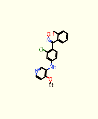 CCOc1ccncc1Nc1ccc(C(=NO)c2ccccc2C)c(Cl)c1